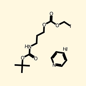 CC(C)(C)OC(=O)NCCCOC(=O)OCI.I.c1ccncc1